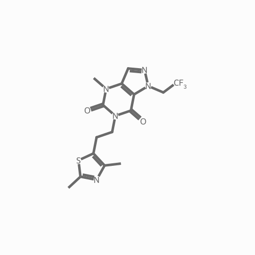 Cc1nc(C)c(CCn2c(=O)c3c(cnn3CC(F)(F)F)n(C)c2=O)s1